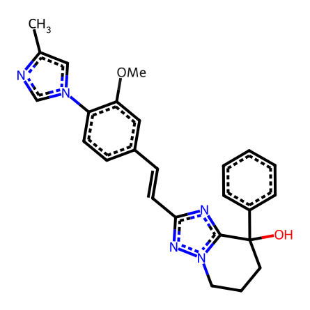 COc1cc(C=Cc2nc3n(n2)CCCC3(O)c2ccccc2)ccc1-n1cnc(C)c1